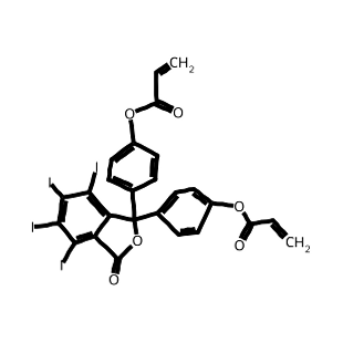 C=CC(=O)Oc1ccc(C2(c3ccc(OC(=O)C=C)cc3)OC(=O)c3c(I)c(I)c(I)c(I)c32)cc1